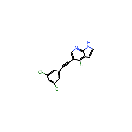 Clc1cc(Cl)cc(C#Cc2cnc3[nH]ccc3c2Cl)c1